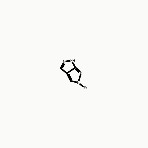 CC(C)n1cc2cn[nH]c2n1